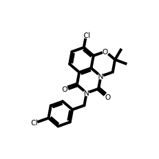 CC1(C)Cn2c(=O)n(Cc3ccc(Cl)cc3)c(=O)c3ccc(Cl)c(c32)O1